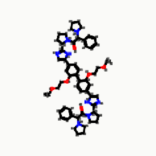 COCCOc1cc(-c2cnc([C@@H]3CCCN3C(=O)[C@@H](c3ccccc3)N3CCCC3)[nH]2)ccc1-c1ccc(-c2cnc([C@@H]3CCCN3C(=O)[C@@H](c3ccccc3)N3CCCC3)[nH]2)cc1OCCOC